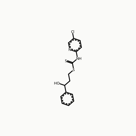 OC(CCSC(=S)Nc1ccc(Cl)cn1)c1ccccc1